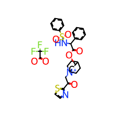 O=C(C[N+]12CCC(CC1)C(OC(=O)C(NS(=O)(=O)c1ccccc1)c1ccccc1)C2)c1nccs1.O=C([O-])C(F)(F)F